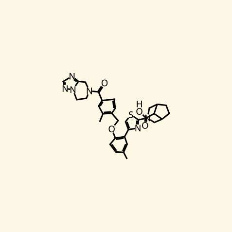 Cc1ccc(OCc2ccc(C(=O)N3CCn4ncnc4C3)cc2C)c(-c2csc(N3CC4CCC(C3)C4C(=O)O)n2)c1